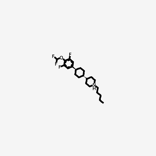 CCCCC[SiH]1CCC([C@H]2CC[C@H](c3cc(F)c(OC(F)F)c(F)c3)CC2)CC1